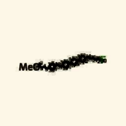 COC(C)CCCc1ccc(CCC2CCC(C3CCC(C4CCC(CCCCCCF)CC4)CC3)CC2)cc1